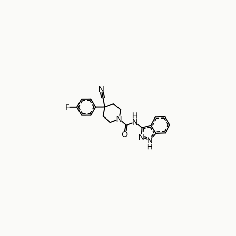 N#CC1(c2ccc(F)cc2)CCN(C(=O)Nc2n[nH]c3ccccc23)CC1